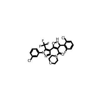 O=C(C1=C(c2cnn(-c3cccc(Cl)c3)c2C(F)(F)F)ONC1c1c(F)cccc1Cl)N1CCOCC1